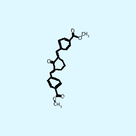 COC(=O)c1ccc(C=C2CCCC(=Cc3ccc(C(=O)OC)cc3)C2=O)cc1